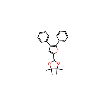 CC1(C)OB(c2cc(-c3ccccc3)c(-c3ccccc3)o2)OC1(C)C